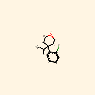 CC(C)C1(c2ccccc2Cl)CCOCC1